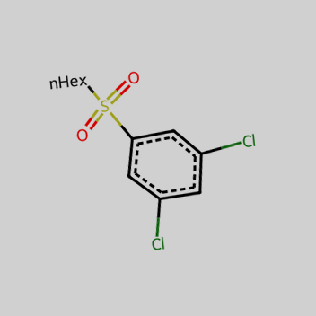 [CH2]CCCCCS(=O)(=O)c1cc(Cl)cc(Cl)c1